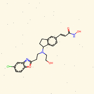 O=C(/C=C/c1ccc2c(c1)CCC2N(CCO)CCc1nc2cc(Cl)ccc2o1)NO